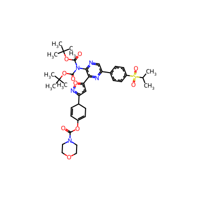 CC(C)S(=O)(=O)c1ccc(-c2cnc(N(C(=O)OC(C)(C)C)C(=O)OC(C)(C)C)c(-c3cc(C4C=CC(OC(=O)N5CCOCC5)=CC4)no3)n2)cc1